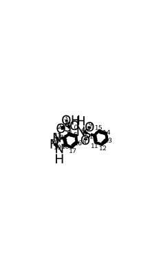 O=S(=O)(O)c1c(NS(=O)(=O)c2ccccc2)ccc2[nH]nnc12